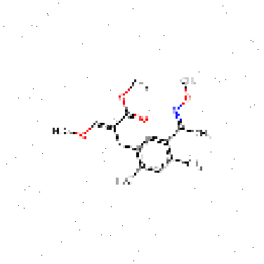 CO/C=C(\Cc1cc(/C(C)=N/OC)c(C)cc1C)C(=O)OC